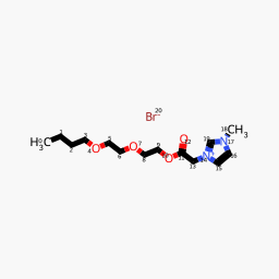 CCCCOCCOCCOC(=O)C[n+]1ccn(C)c1.[Br-]